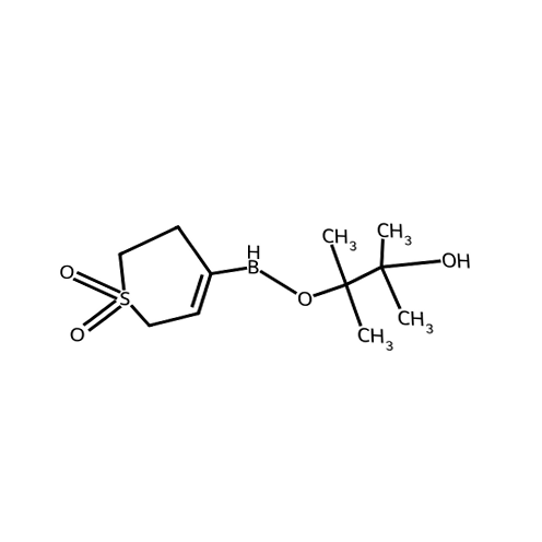 CC(C)(O)C(C)(C)OBC1=CCS(=O)(=O)CC1